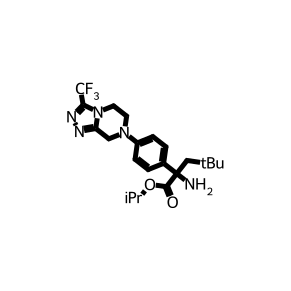 CC(C)OC(=O)C(N)(CC(C)(C)C)c1ccc(N2CCn3c(nnc3C(F)(F)F)C2)cc1